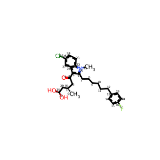 C[C@H](CC(=O)c1c(CCCCCCc2ccc(F)cc2)n(C)c2ccc(Cl)cc12)CC(O)O